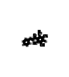 Cc1c(C#N)c(I)c(C#N)c(C#N)c1C(=O)OCc1ccccc1